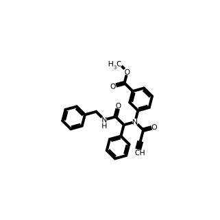 C#CC(=O)N(c1cccc(C(=O)OC)c1)C(C(=O)NCc1ccccc1)c1ccccc1